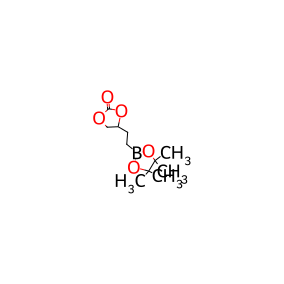 CC1(C)OB(CCC2COC(=O)O2)OC1(C)C